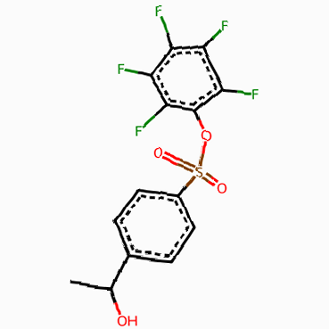 CC(O)c1ccc(S(=O)(=O)Oc2c(F)c(F)c(F)c(F)c2F)cc1